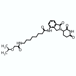 CC(C)OCC(=O)NCCCCCCCC(=O)Nc1cccc2c1CN(C1CCC(=O)NC1=O)C2=O